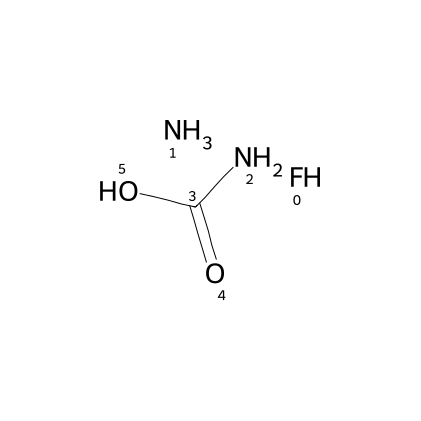 F.N.NC(=O)O